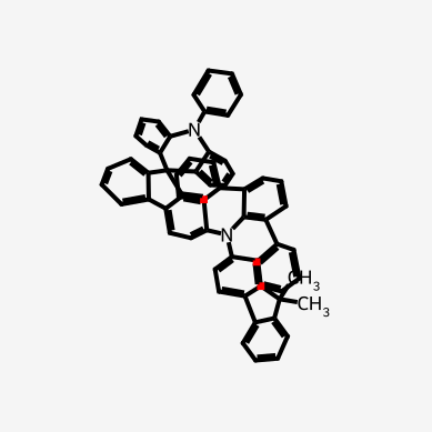 CC1(C)c2ccccc2-c2ccc(N(c3ccc4c(c3)C3(c5ccccc5-4)c4ccccc4N(c4ccccc4)c4ccccc43)c3c(-c4ccccc4)cccc3-c3ccccc3)cc21